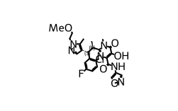 COCCn1ncc([C@@H](c2cc(F)ccc2Cl)[C@@H](C)c2nc(C(=O)Nc3cnoc3)c(O)c(=O)n2C)c1C